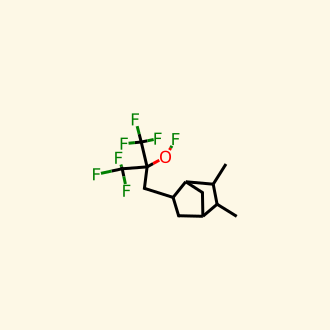 CC1C2CC(CC(OF)(C(F)(F)F)C(F)(F)F)C(C2)C1C